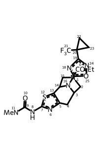 CCOC(=O)N1CC2Cc3nc(NC(=O)NC)sc3C(C1)N2c1nc(C2(C(F)(F)F)CC2)no1